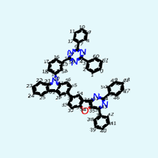 c1ccc(-c2nc(-c3ccccc3)nc(-c3cccc(-n4c5ccccc5c5cc(-c6ccc7oc8c(-c9ccccc9)nc(-c9ccccc9)nc8c7c6)ccc54)c3)n2)cc1